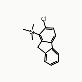 C[Si](C)(C)c1c(Cl)ccc2c1Cc1ccccc1-2